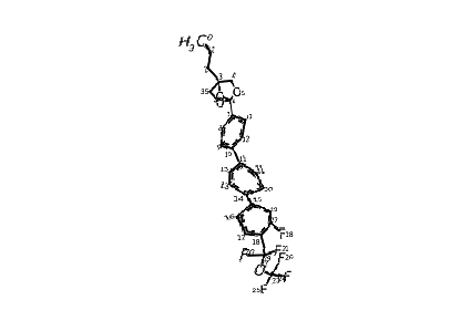 CCCC12COC(c3ccc(-c4ccc(-c5ccc(C(F)(F)OC(F)(F)F)c(F)c5)cc4)cc3)(OC1)O2